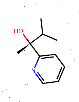 CC(C)[C@@](C)(O)c1ccccn1